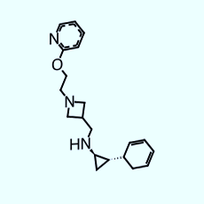 C1=CCC([C@@H]2C[C@H]2NCC2CN(CCOc3ccccn3)C2)C=C1